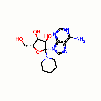 Nc1ncnc2c1ncn2[C@]1(N2CCCCC2)O[C@H](CO)[C@@H](O)[C@H]1O